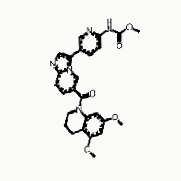 COC(=O)Nc1ccc(-c2cnc3ccc(C(=O)N4CCCc5c(OC)cc(OC)cc54)cn23)cn1